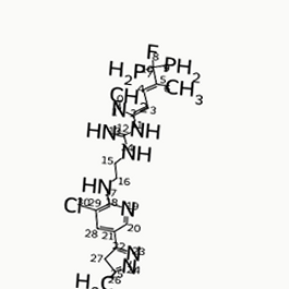 C=N/C(=C\C=C(/C)C(F)(P)P)NC(=N)NCCNc1ncc(C2=NN=C(C)C2)cc1Cl